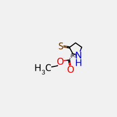 CCOC(=O)[C@H]1NCCC1=S